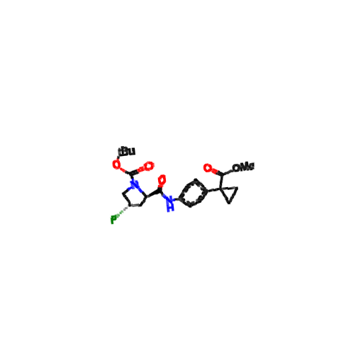 COC(=O)C1(c2ccc(NC(=O)[C@H]3C[C@H](F)CN3C(=O)OC(C)(C)C)cc2)CC1